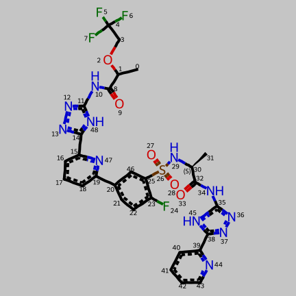 CC(OCC(F)(F)F)C(=O)Nc1nnc(-c2cccc(-c3ccc(F)c(S(=O)(=O)N[C@@H](C)C(=O)Nc4nnc(-c5ccccn5)[nH]4)c3)n2)[nH]1